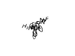 Cc1ncc(C(CNC(=O)c2cc(-c3ncc(F)cn3)ccc2Cl)N2CCCOCC2)s1